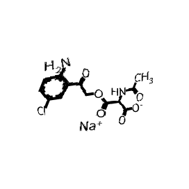 CC(=O)NC(C(=O)[O-])C(=O)OCC(=O)c1cc(Cl)ccc1N.[Na+]